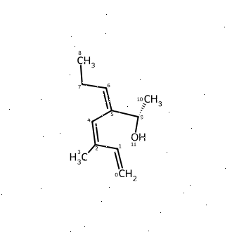 C=C/C(C)=C\C(=C/CC)[C@H](C)O